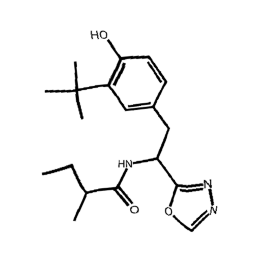 CCC(C)C(=O)NC(Cc1ccc(O)c(C(C)(C)C)c1)c1nnco1